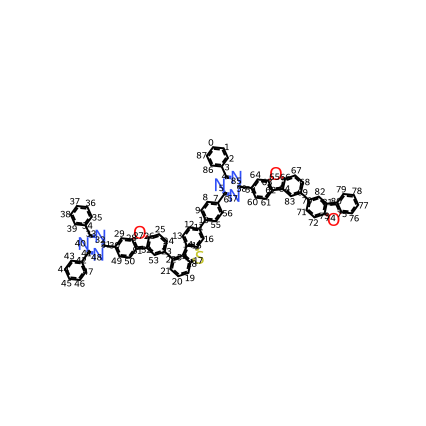 c1ccc(-c2nc(-c3ccc(-c4ccc5c(c4)sc4cccc(-c6ccc7oc8cc(-c9nc(-c%10ccccc%10)nc(-c%10ccccc%10)n9)ccc8c7c6)c45)cc3)nc(-c3ccc4c(c3)oc3ccc(-c5ccc6oc7ccccc7c6c5)cc34)n2)cc1